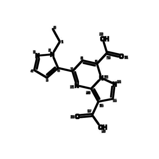 CCn1nccc1-c1cc(C(=O)O)n2ncc(C(=O)O)c2n1